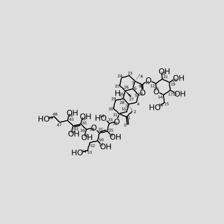 C=C1C[C@@]23CCC4[C@](C)(C(=O)OC5OC(CO)C(O)C(O)C5O)CCC[C@@]4(C)[C@@H]2CC[C@]1(OC(O)/C(O)=C(\OC(O)/C(O)=C(\O)C(O)CCO)C(O)CCO)C3